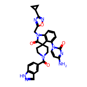 Nc1ccn(-c2cccc3c2C2(CCN(C(=O)c4ccc5[nH]ncc5c4)CC2)C(=O)N3Cc2nc(C3CC3)no2)c(=O)n1